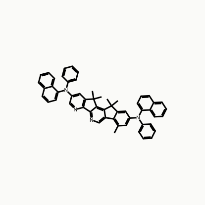 Cc1cc(N(c2ccccc2)c2cccc3ccccc23)cc2c1-c1cnc3c(c1C2(C)C)C(C)(C)c1cc(N(c2ccccc2)c2cccc4ccccc24)cnc1-3